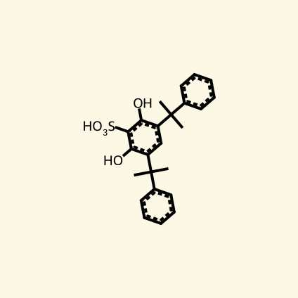 CC(C)(c1ccccc1)c1cc(C(C)(C)c2ccccc2)c(O)c(S(=O)(=O)O)c1O